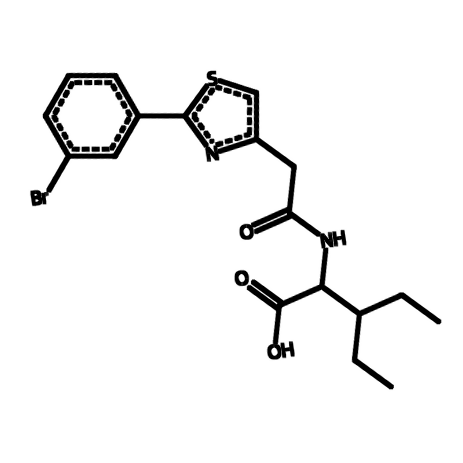 CCC(CC)C(NC(=O)Cc1csc(-c2cccc(Br)c2)n1)C(=O)O